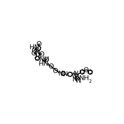 Nc1ncnc2c1c(-c1ccc(Oc3ccccc3)cc1)nn2[C@H]1CC[C@H](N2CCN(CCOCCOCCNC(=O)CNc3cccc4c3C(=O)N(C3CCC(=O)NC3=O)C4=O)CC2)CC1